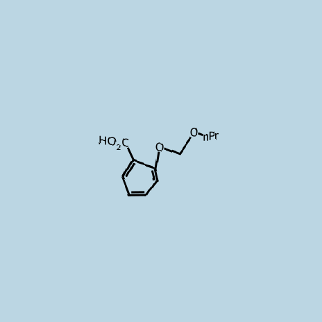 CCCOCOc1ccccc1C(=O)O